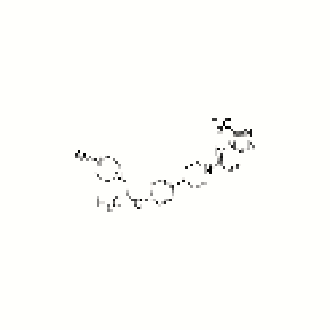 CC(=O)N1CCN(C[C@@H](C)Oc2ccc(C3CCN(c4ccc5nnc(C(F)(F)F)n5n4)CC3)cc2)CC1